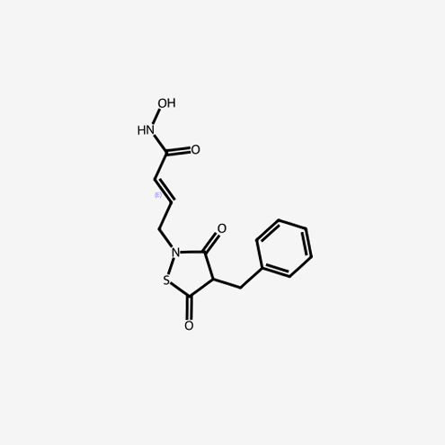 O=C(/C=C/CN1SC(=O)C(Cc2ccccc2)C1=O)NO